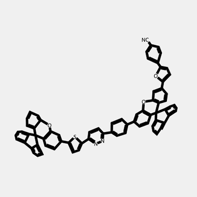 N#Cc1ccc(-c2ccc(-c3ccc4c(c3)Oc3cc(-c5ccc(-c6ccc(-c7ccc(-c8ccc9c(c8)Oc8ccccc8C98c9ccccc9-c9ccccc98)s7)nn6)cc5)ccc3C43c4ccccc4-c4ccccc43)o2)cc1